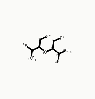 FCC(OC(CF)C(F)C(F)(F)F)C(F)C(F)(F)F